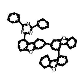 c1ccc(-c2nc(-c3ccccc3)nc(-c3cccc4oc5cc(-c6cc(-c7cccc8oc9ccccc9c78)c7c(c6)oc6ccccc67)ccc5c34)n2)cc1